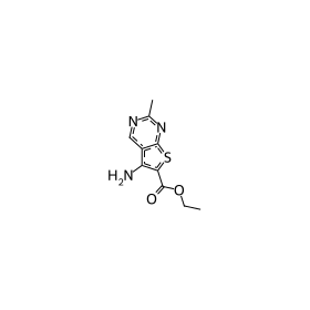 CCOC(=O)c1sc2nc(C)ncc2c1N